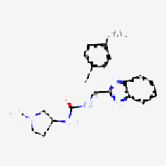 COc1ccc(C[C@@H](NC(=O)NC2CCN(C(C)=O)C2)c2nc3ccccc3[nH]2)cc1